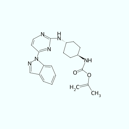 C=C(C)OC(=O)N[C@H]1CC[C@H](Nc2nccc(-n3ncc4ccccc43)n2)CC1